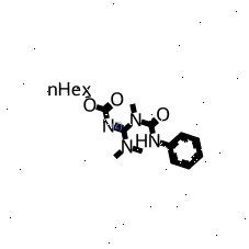 CCCCCCOC(=O)/N=C(/N(C)C)N(C)C(=O)Nc1ccccc1